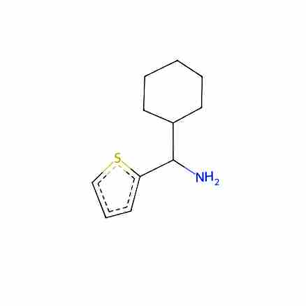 NC(c1cccs1)C1CCCCC1